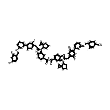 N#Cc1ccc(COc2cccc(-c3cc(F)c(Cc4nc5ccc(C(=O)OC(=O)c6ccc7nc(Cc8cc(F)c(-c9cccc(OCc%10ccc(C#N)cc%10F)n9)cc8F)n(C8CCCC89CC9)c7c6)cc5n4C4CCCC45CC5)cc3F)n2)c(F)c1